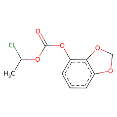 CC(Cl)OC(=O)Oc1cccc2c1OCO2